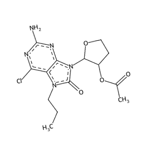 CCCn1c(=O)n(C2OCCC2OC(C)=O)c2nc(N)nc(Cl)c21